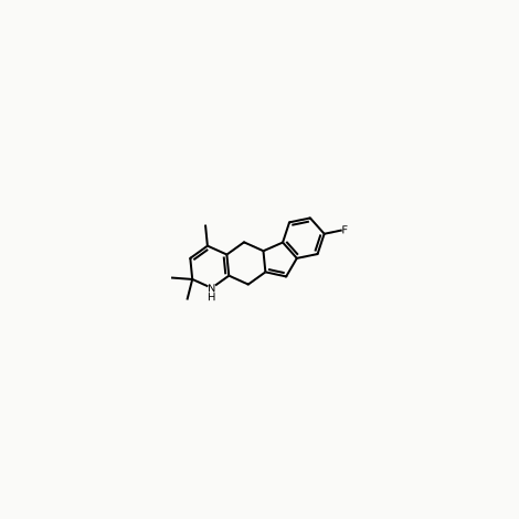 CC1=CC(C)(C)NC2=C1CC1C(=Cc3cc(F)ccc31)C2